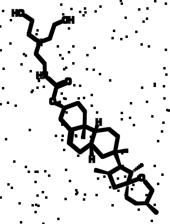 C[C@H]1CC[C@@]2(C[C@@H](C)[C@@H]([C@@]3(C)CC[C@H]4[C@@H](CC=C5C[C@@H](OC(=O)NCCN(CCO)CCO)CC[C@@]54C)C3)[C@@H]2C)OC1